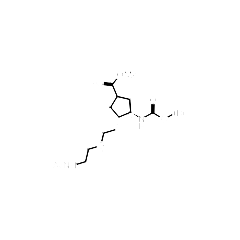 COC(=O)C1C[C@@H](CCOCCNC(C)=O)[C@H](NC(=O)OC(C)(C)C)C1